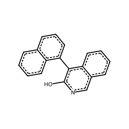 Oc1ncc2ccccc2c1-c1cccc2ccccc12